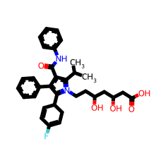 CC(C)c1c(C(=O)Nc2ccccc2)c(-c2ccccc2)c(C2C=CC(F)=CC2)n1CCC(O)CC(O)CC(=O)O